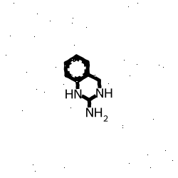 NC1NCc2ccccc2N1